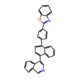 c1ccc2c(-c3ccc(-c4ccc(-c5nc6ccccc6o5)cc4)c4ccccc34)cncc2c1